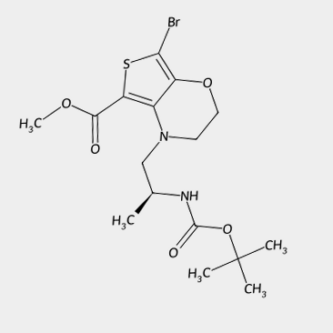 COC(=O)c1sc(Br)c2c1N(C[C@H](C)NC(=O)OC(C)(C)C)CCO2